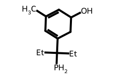 CCC(P)(CC)C1=CC(C)=CC(O)C1